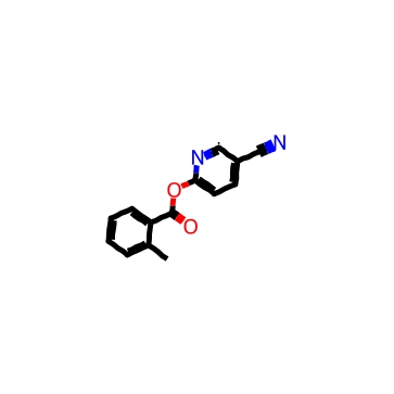 Cc1ccccc1C(=O)Oc1ccc(C#N)[c]n1